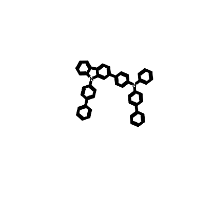 c1ccc(-c2ccc(N(c3ccccc3)c3ccc(-c4ccc5c6ccccc6n(-c6ccc(-c7ccccc7)cc6)c5c4)cc3)cc2)cc1